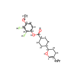 CCCC1=COC(C2CCC(C(=O)Oc3ccc(OCC)c(F)c3F)CC2)CC1